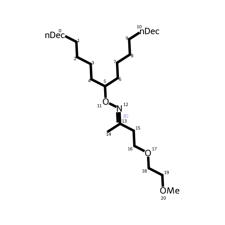 CCCCCCCCCCCCCCC(CCCCCCCCCCCCCC)O/N=C(\C)CCOCCOC